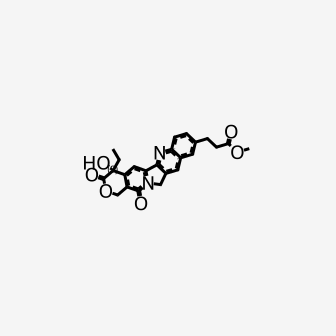 CC[C@@]1(O)C(=O)OCc2c1cc1n(c2=O)Cc2cc3cc(CCC(=O)OC)ccc3nc2-1